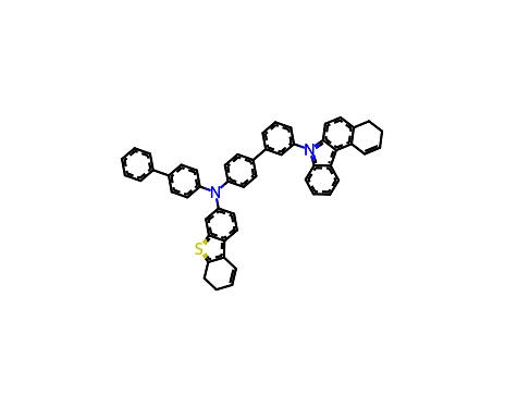 C1=Cc2c(ccc3c2c2ccccc2n3-c2cccc(-c3ccc(N(c4ccc(-c5ccccc5)cc4)c4ccc5c6c(sc5c4)CCC=C6)cc3)c2)CC1